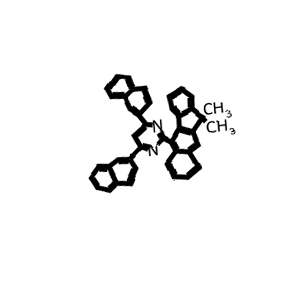 CC1(C)c2ccccc2-c2c1cc1ccccc1c2-c1nc(-c2ccc3ccccc3c2)cc(-c2ccc3ccccc3c2)n1